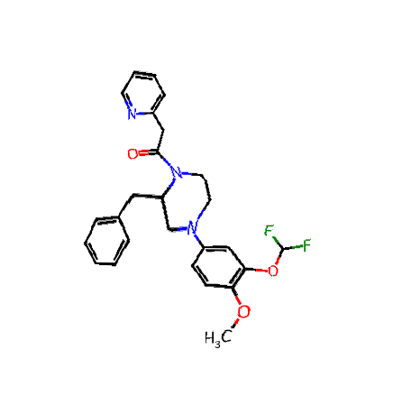 COc1ccc(N2CCN(C(=O)Cc3ccccn3)C(Cc3ccccc3)C2)cc1OC(F)F